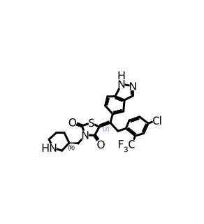 O=C1S/C(=C(/Cc2ccc(Cl)cc2C(F)(F)F)c2ccc3[nH]ncc3c2)C(=O)N1C[C@@H]1CCCNC1